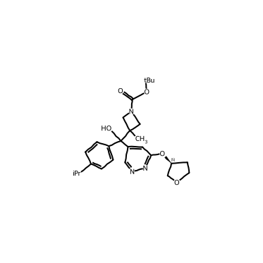 CC(C)c1ccc(C(O)(c2cnnc(O[C@H]3CCOC3)c2)C2(C)CN(C(=O)OC(C)(C)C)C2)cc1